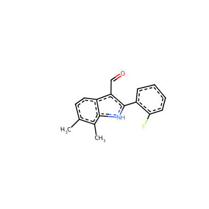 Cc1ccc2c(C=O)c(-c3ccccc3F)[nH]c2c1C